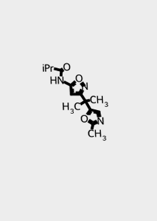 Cc1ncc(C(C)(C)c2cc(NC(=O)C(C)C)on2)o1